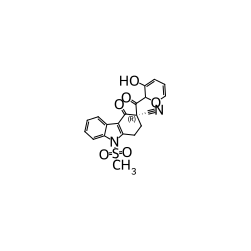 CS(=O)(=O)n1c2c(c3ccccc31)C(=O)[C@@](C#N)(C(=O)C1OC=CC=C1O)CC2